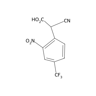 N#CC(C(=O)O)c1ccc(C(F)(F)F)cc1[N+](=O)[O-]